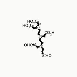 O=COCN(CCN(CCN(CC(=O)O)CC(=O)O)CC(=O)O)COC=O